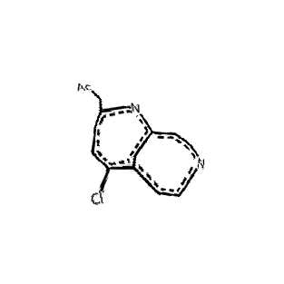 CC(=O)c1cc(Cl)c2ccncc2n1